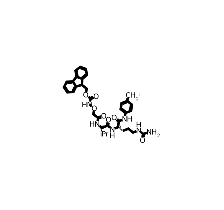 [CH2]c1ccc(NC(=O)[C@H](CCCNC(N)=O)NC(=O)[C@@H](NC(=O)CONC(=O)OCC2c3ccccc3-c3ccccc32)C(C)C)cc1